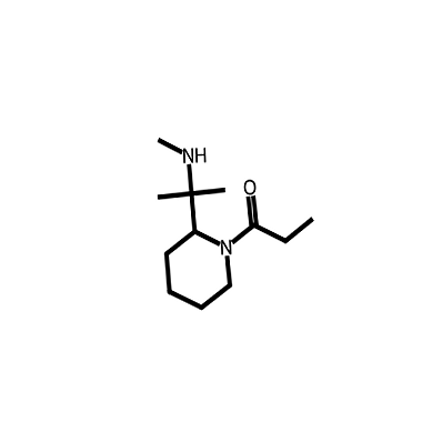 CCC(=O)N1CCCCC1C(C)(C)NC